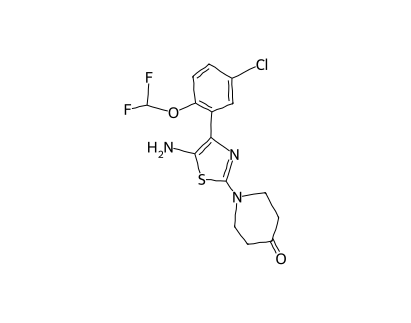 Nc1sc(N2CCC(=O)CC2)nc1-c1cc(Cl)ccc1OC(F)F